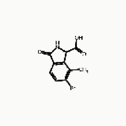 Cc1c(Br)ccc2c1C(C(=O)O)NC2=O